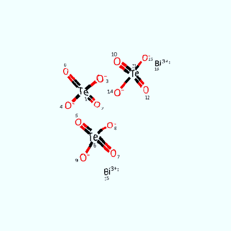 O=[Te](=O)([O-])[O-].O=[Te](=O)([O-])[O-].O=[Te](=O)([O-])[O-].[Bi+3].[Bi+3]